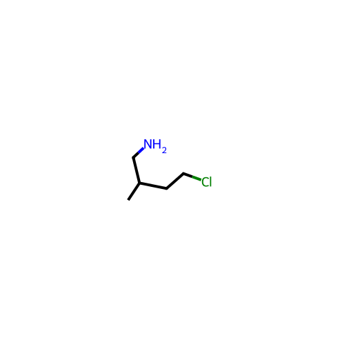 CC(CN)CCCl